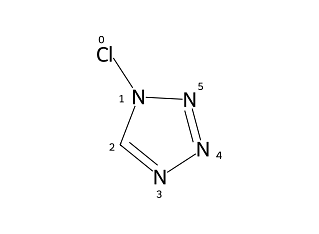 Cln1cnnn1